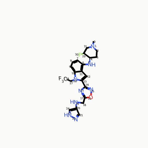 CN1CC[C@@H](Nc2cccc3c2cc(-c2noc(CNc4cn[nH]c4)n2)n3CC(F)(F)F)[C@@H](F)C1